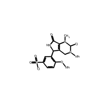 CCCOc1ccc(S(=O)(=O)Cl)cc1C1NC(=O)C2=C1CN(CCC)C(Cl)N2C